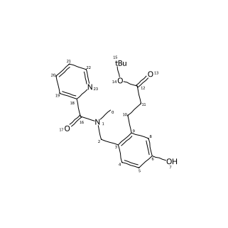 CN(Cc1ccc(O)cc1CCC(=O)OC(C)(C)C)C(=O)c1ccccn1